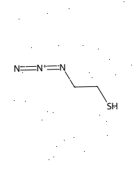 [N-]=[N+]=NCCS